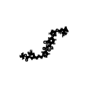 CC(C)(C)OC(=O)N1CC(CCCn2cc(S(=O)(=O)NC(=O)c3ccc(-n4ccc(OCCC5(C(F)(F)F)CC5)n4)nc3Cl)cn2)CC1(C)C